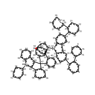 c1ccc(-c2ccccc2-c2ccc3c(c2)c2cc(-c4ccccc4-c4ccccc4)ccc2n3-c2ccccc2-c2ccccc2C2(c3ccccc3)c3ccccc3-c3c2c2ccccc2n3-c2ccccc2)cc1